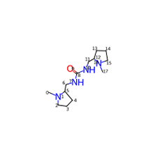 CN1CCCC1CNC(=O)NCC1CCCN1C